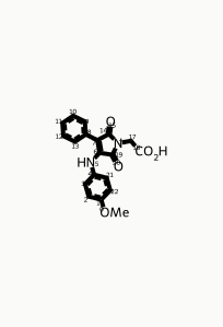 COc1ccc(NC2=C(c3ccccc3)C(=O)N(CC(=O)O)C2=O)cc1